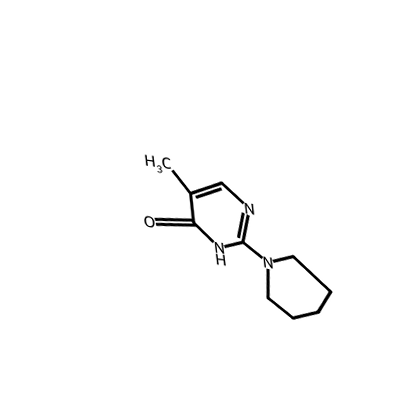 Cc1cnc(N2CCCCC2)[nH]c1=O